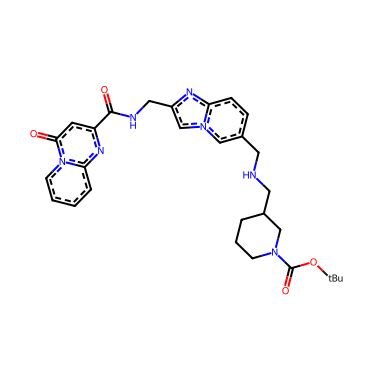 CC(C)(C)OC(=O)N1CCCC(CNCc2ccc3nc(CNC(=O)c4cc(=O)n5ccccc5n4)cn3c2)C1